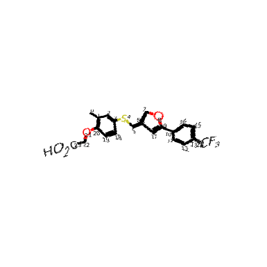 Cc1cc(SCc2coc(-c3ccc(C(F)(F)F)cc3)c2)ccc1OCC(=O)O